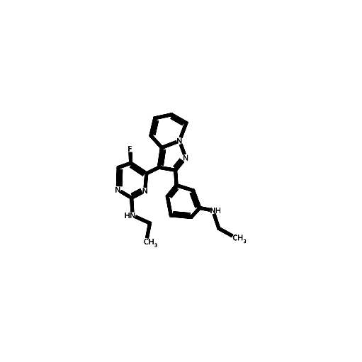 CCNc1cccc(-c2nn3ccccc3c2-c2nc(NCC)ncc2F)c1